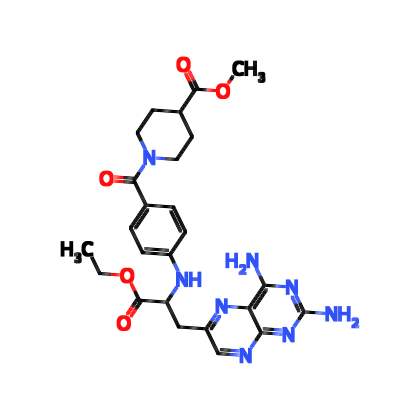 CCOC(=O)C(Cc1cnc2nc(N)nc(N)c2n1)Nc1ccc(C(=O)N2CCC(C(=O)OC)CC2)cc1